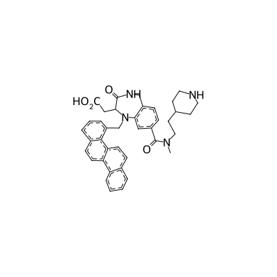 CN(CCC1CCNCC1)C(=O)c1ccc2c(c1)N(Cc1cccc3ccc4c5ccccc5ccc4c13)C(CC(=O)O)C(=O)NC2